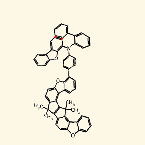 CC1(C)C2=C(c3c1ccc1oc4c(-c5ccc(N(c6ccccc6-c6ccccc6)c6cccc7c6oc6ccccc67)cc5)cccc4c31)C(C)(C)c1c2ccc2oc3ccccc3c12